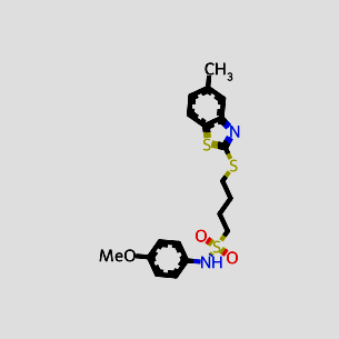 COc1ccc(NS(=O)(=O)CCCCSc2nc3cc(C)ccc3s2)cc1